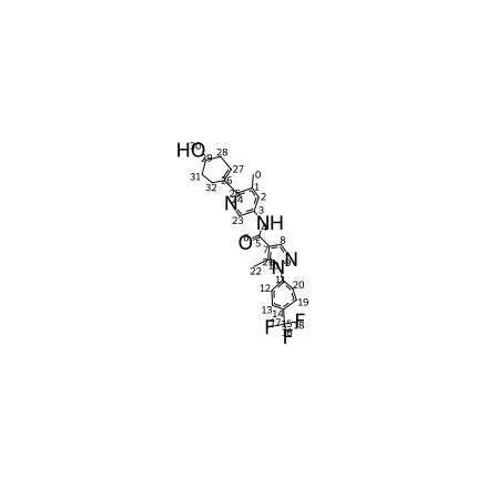 Cc1cc(NC(=O)c2cnn(-c3ccc(C(F)(F)F)cc3)c2C)cnc1C1=CCC(O)CC1